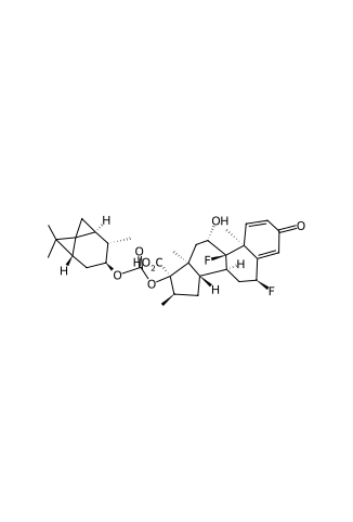 C[C@@H]1[C@@H](OC(=O)O[C@]2(C(=O)O)[C@H](C)C[C@H]3[C@@H]4C[C@H](F)C5=CC(=O)C=C[C@]5(C)[C@@]4(F)[C@@H](O)C[C@@]32C)C[C@@H]2C(C)(C)C23C[C@@H]13